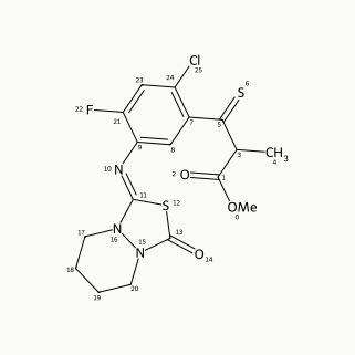 COC(=O)C(C)C(=S)c1cc(N=c2sc(=O)n3n2CCCC3)c(F)cc1Cl